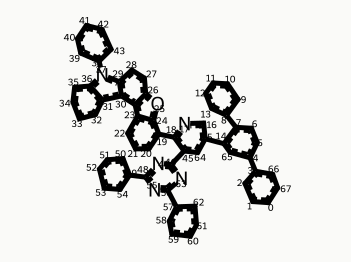 c1ccc(-c2ccc(-c3ccccc3)c(-c3cnc(-c4cccc5c4oc4ccc6c(c7ccccc7n6-c6ccccc6)c45)c(-c4nc(-c5ccccc5)nc(-c5ccccc5)n4)c3)c2)cc1